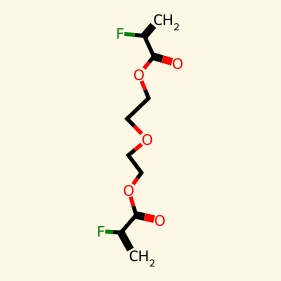 C=C(F)C(=O)OCCOCCOC(=O)C(=C)F